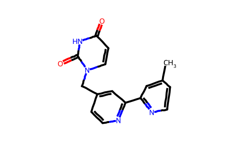 Cc1ccnc(-c2cc(Cn3ccc(=O)[nH]c3=O)ccn2)c1